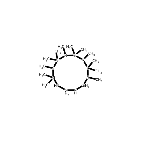 CN1[SiH2]N[SiH2]N[Si](C)(C)N(C)[Si](C)(C)N(C)[Si](C)(C)N(C)[Si]1(C)C